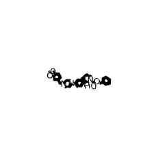 O=C(OCc1ccccc1)N1CCC2C[C@@H]1c1ccc(N3CCN(Cc4ccc5c(c4)OCO5)CC3)cc12